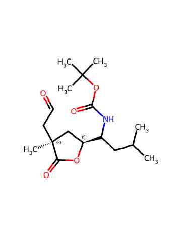 CC(C)CC(NC(=O)OC(C)(C)C)[C@@H]1C[C@](C)(CC=O)C(=O)O1